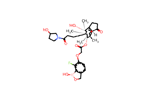 C[C@@H]1CC[C@@]23CCC(=O)[C@H]2[C@]1(C)[C@H](OC(=O)COc1ccc2c(c1F)B(O)OC2)C[C@@](C)(CCC(=O)N1CCC(O)C1)[C@@H](O)[C@@H]3C